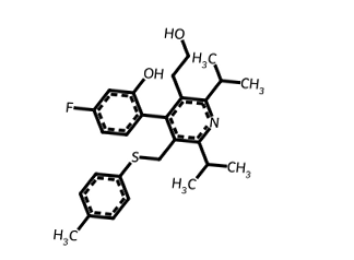 Cc1ccc(SCc2c(C(C)C)nc(C(C)C)c(CCO)c2-c2ccc(F)cc2O)cc1